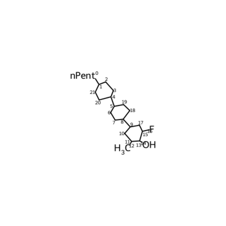 CCCCCC1CCC(C2CCC(C3CC(C)C(O)C(F)C3)CC2)CC1